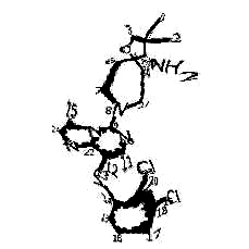 CC1(C)COC2(CCN(c3ncc(Sc4cccc(Cl)c4Cl)c4nccn34)CC2)[C@H]1N